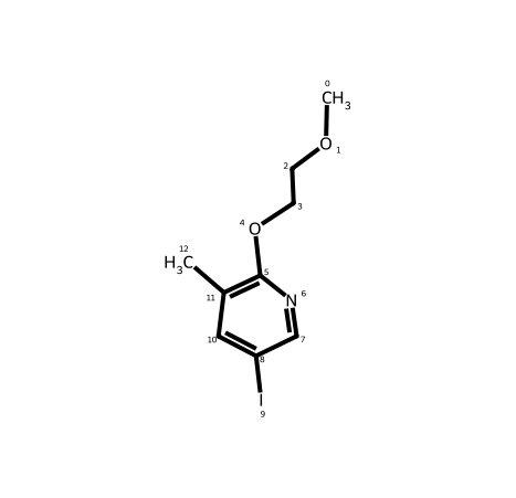 COCCOc1ncc(I)cc1C